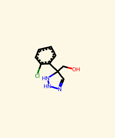 OCC1(c2ccccc2Cl)C=NNN1